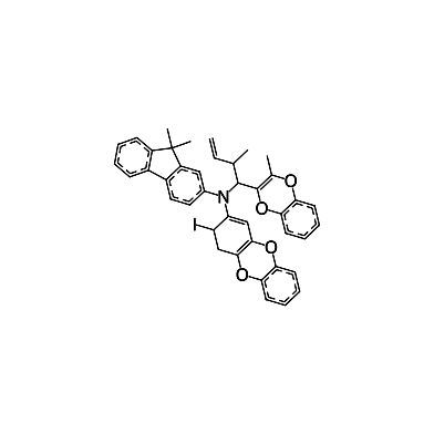 C=CC(C)C(C1=C(C)Oc2ccccc2O1)N(C1=CC2=C(CC1I)Oc1ccccc1O2)c1ccc2c(c1)C(C)(C)c1ccccc1-2